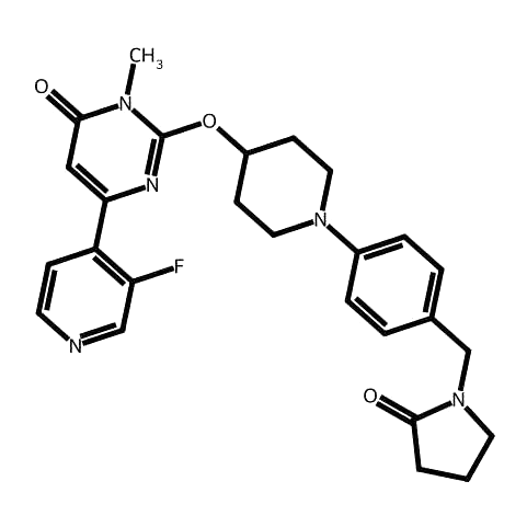 Cn1c(OC2CCN(c3ccc(CN4CCCC4=O)cc3)CC2)nc(-c2ccncc2F)cc1=O